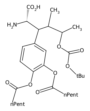 CCCCCC(=O)Oc1ccc(C(C(C)C(C)OC(=O)OC(C)(C)C)[C@H](N)C(=O)O)cc1OC(=O)CCCCC